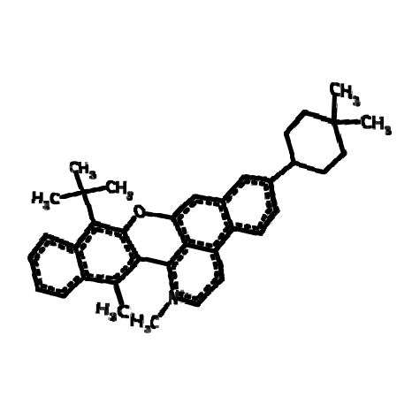 Cc1c2c(c(C(C)(C)C)c3ccccc13)Oc1cc3cc(C4CCC(C)(C)CC4)ccc3c3cc[n+](C)c-2c13